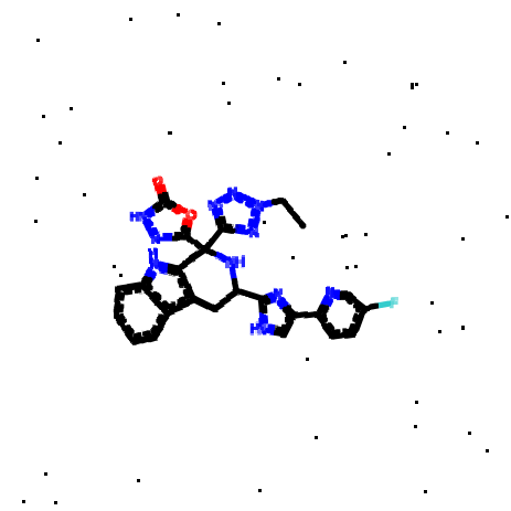 CCn1nnc(C2(c3n[nH]c(=O)o3)NC(c3nc(-c4ccc(F)cn4)c[nH]3)Cc3c2[nH]c2ccccc32)n1